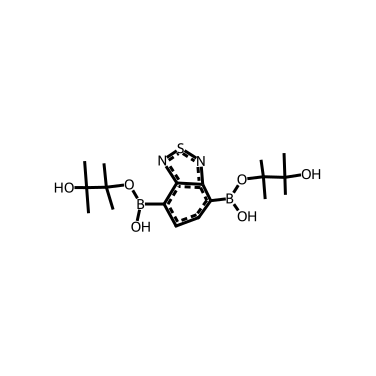 CC(C)(O)C(C)(C)OB(O)c1ccc(B(O)OC(C)(C)C(C)(C)O)c2nsnc12